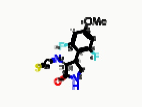 COc1cc(F)c(C2CNC(=O)[C@@H]2N=C=S)c(F)c1